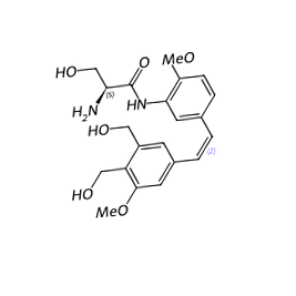 COc1ccc(/C=C\c2cc(CO)c(CO)c(OC)c2)cc1NC(=O)[C@@H](N)CO